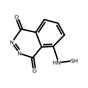 O=C1N=NC(=O)c2c(NS)cccc21